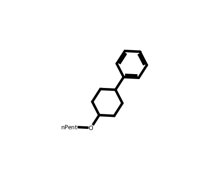 CCCCCOC1CCC(c2cc[c]cc2)CC1